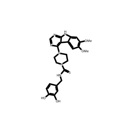 COc1cc2[nH]c3ncnc(N4CCN(C(=S)NCc5ccc(O)c(O)c5)CC4)c3c2cc1OC